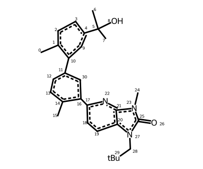 Cc1ccc(C(C)(C)O)cc1-c1ccc(C)c(-c2ccc3c(n2)n(C)c(=O)n3CC(C)(C)C)c1